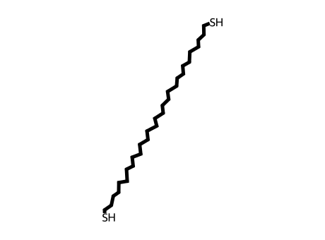 SCCCCCCCCCCCCCCCCCCCCCCCCCCCCCS